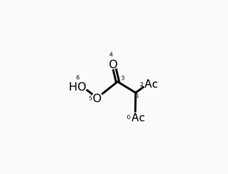 CC(=O)C(C(C)=O)C(=O)OO